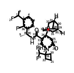 CC(F)c1cccc([C@@H](C)NC(=O)c2cn(C3(C(F)P)CCC3)c(=O)cc2N[C@@H]2[C@@H]3C[C@H]2CN(C)C3)c1F